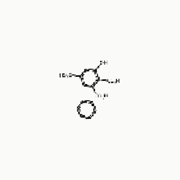 O=C(O)c1cc(O)c(C(=O)O)c(C(=O)O)c1.c1ccccc1